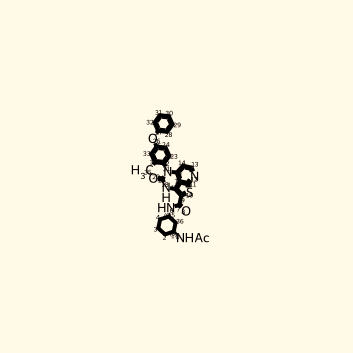 CC(=O)N[C@H]1CCC[C@H](NC(=O)c2sc3nccc4c3c2NC(=O)N4c2ccc(Oc3ccccc3)cc2C)C1